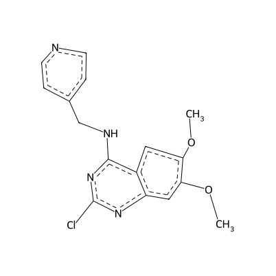 COc1cc2nc(Cl)nc(NCc3ccncc3)c2cc1OC